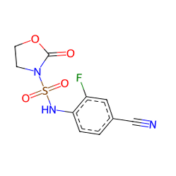 N#Cc1ccc(NS(=O)(=O)N2CCOC2=O)c(F)c1